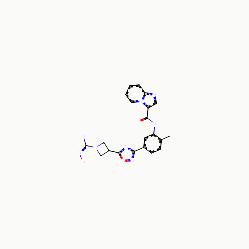 Cc1ccc(-c2noc(C3CN(/C(N)=N\O)C3)n2)cc1NC(=O)c1cnc2ccccn12